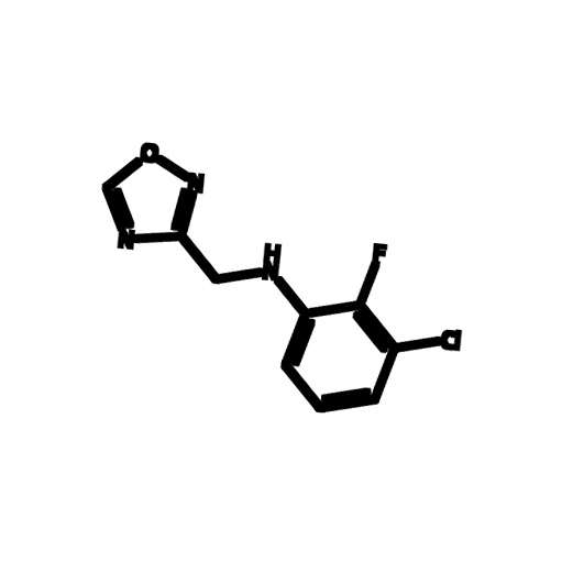 Fc1c(Cl)cccc1NCc1ncon1